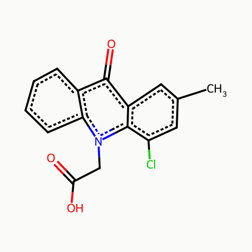 Cc1cc(Cl)c2c(c1)c(=O)c1ccccc1n2CC(=O)O